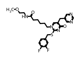 COCCNC(=O)CCCCCn1cc(Cc2cncnc2)c(=O)nc1SCc1ccc(F)c(F)c1